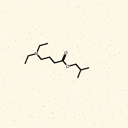 CCN(CC)CCCC(=O)OCC(C)C